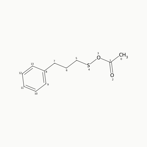 CC(=O)OSCCCc1ccccc1